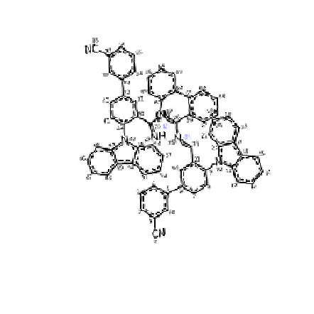 N#Cc1cccc(-c2ccc(-n3c4ccccc4c4ccccc43)c(/C=N/C(=N\C(=N)c3cc(-c4cccc(C#N)c4)ccc3-n3c4ccccc4c4ccccc43)c3ccccc3-c3ccccc3C#N)c2)c1